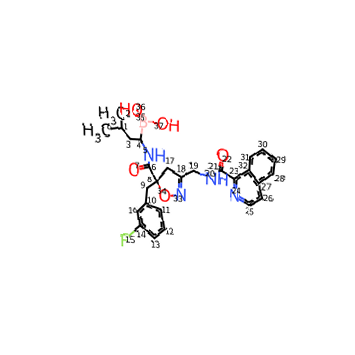 CC(C)CC(NC(=O)C1(Cc2cccc(F)c2)CC(CNC(=O)c2nccc3ccccc23)=NO1)B(O)O